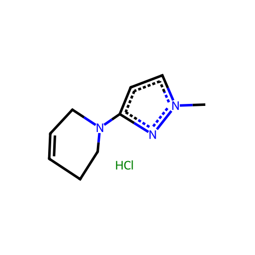 Cl.Cn1ccc(N2CC=CCC2)n1